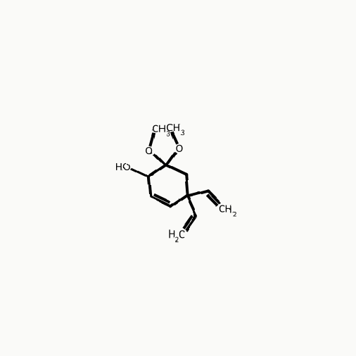 C=CC1(C=C)C=CC(O)C(OC)(OC)C1